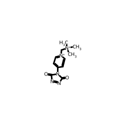 C[N+](C)(C)C[n+]1ccc(N2C(=O)N=NC2=O)cc1